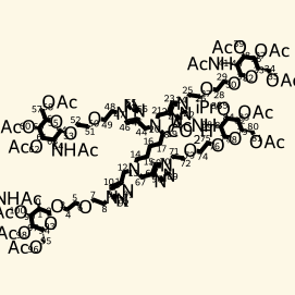 CC(=O)N[C@H]1[C@H](OCCOCCn2cc(CN(CCCC[C@@H](C(=O)O)N(Cc3cn(CCOCCO[C@@H]4O[C@H](COC(C)=O)[C@H](OC(C)=O)[C@H](OC(C)=O)[C@H]4NC(C)=O)nn3)Cc3cn(CCOCCO[C@@H]4OC(COC(C)=O)[C@H](OC(C)=O)[C@H](OC(C)=O)[C@H]4NC(C)=O)nn3)Cc3cn(CCOCCO[C@@H]4O[C@H](COC(C)=O)[C@H](OC(C)=O)[C@H](OC(C)C)[C@H]4NC(C)=O)nn3)nn2)O[C@H](COC(C)=O)[C@H](OC(C)=O)[C@@H]1OC(C)=O